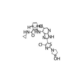 O=C(NC1CC1)[C@@H]1[C@H](Nc2c(Cl)cnc3[nH]c(-c4sc(N5CC[C@@H](O)C5)nc4Cl)nc23)[C@H]2C=C[C@@H]1C2